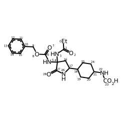 CCC(=O)NC1(NC(=O)OCc2ccccc2)CC(C2CCC(NC(=O)O)CC2)NC1=O